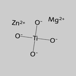 [Mg+2].[O-][Ti]([O-])([O-])[O-].[Zn+2]